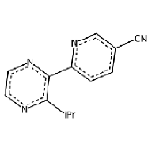 CC(C)c1nccnc1-c1ccc(C#N)cn1